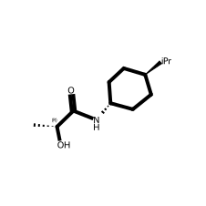 CC(C)[C@H]1CC[C@H](NC(=O)[C@@H](C)O)CC1